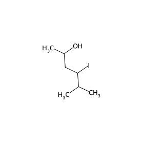 CC(O)CC(I)C(C)C